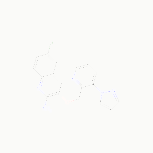 C[C@H](Oc1cc2cc(Br)ccc2nc1N)c1ncccc1-n1cccn1